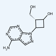 Nc1ncnc2c1cnn2C1CC(O)[C@H]1CO